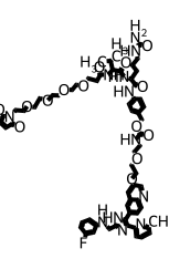 Cc1cccc(-c2nc(CNc3cccc(F)c3)[nH]c2-c2ccc3ncc(OCCOCCNC(=O)OCc4ccc(NC(=O)C(CCCNC(N)=O)NC(=O)C(NC(=O)CCOCCOCCOCCOCCN5C(=O)C=CC5=O)C(C)C)cc4)cc3c2)n1